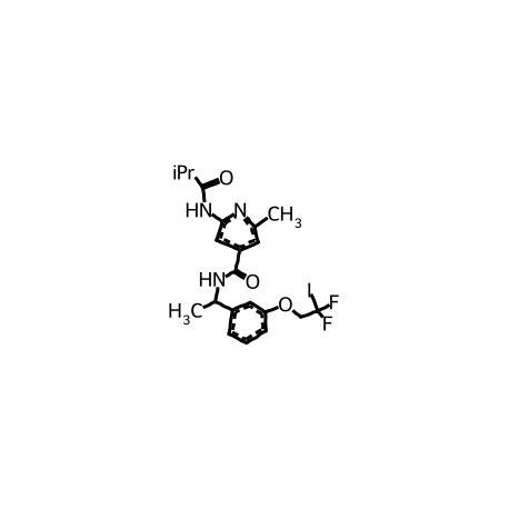 Cc1cc(C(=O)NC(C)c2cccc(OCC(F)(F)I)c2)cc(NC(=O)C(C)C)n1